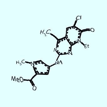 CCn1c(=O)c(Cl)cc2c(C)nc(Nc3cc(C(=O)OC)n(C)c3)nc21